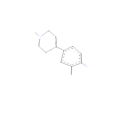 Cc1cc(C2CCN(C)CC2)ccc1N